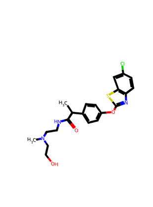 CC(C(=O)NCCN(C)CCO)c1ccc(Oc2nc3ccc(Cl)cc3s2)cc1